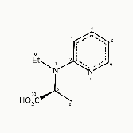 CCN(c1ccccn1)[C@@H](C)C(=O)O